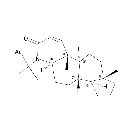 CC(=O)C(C)(C)N1C(=O)C=C[C@]2(C)[C@H]3CC[C@]4(C)CCC[C@H]4[C@@H]3CC[C@@H]12